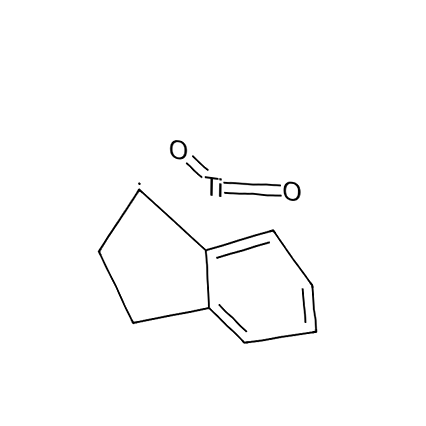 [CH]1CCc2ccccc21.[O]=[Ti]=[O]